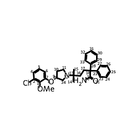 COc1c(Cl)cccc1O[C@@H]1CCN(C(C)(C)CCC(C(N)=O)(c2ccccc2)c2ccccc2)C1